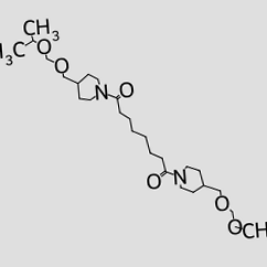 COCOCC1CCN(C(=O)CCCCCCC(=O)N2CCC(COCOC(C)C)CC2)CC1